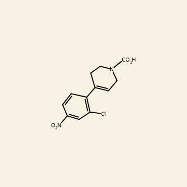 O=C(O)N1CC=C(c2ccc([N+](=O)[O-])cc2Cl)CC1